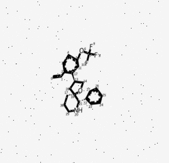 C=Cc1ccc(OC(F)(F)F)cc1[C@H]1CO[C@]2(CCCN[C@H]2c2ccccc2)C1